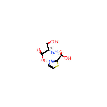 N[C@@H](CO)C(=O)O.O=C(O)c1nccs1